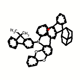 CC1(C)c2ccccc2-c2ccc(N(c3ccccc3)c3c(-c4ccc5c(c4)C4(c6ccccc6-5)C5CC6CC(C5)CC4C6)ccc4c3Oc3ccccc3O4)cc21